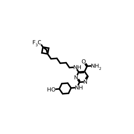 NC(=O)c1cnc(NC2CCC(O)CC2)nc1NCCCCCC12CC(C(F)(F)F)(C1)C2